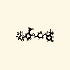 CS(=O)(=O)NC(=O)c1cc(C2CC2)c(OCC2CCN(Cc3ccc(F)cc3C(F)(F)F)CC2)cc1F